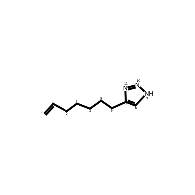 C=CCCCCCc1c[nH]nn1